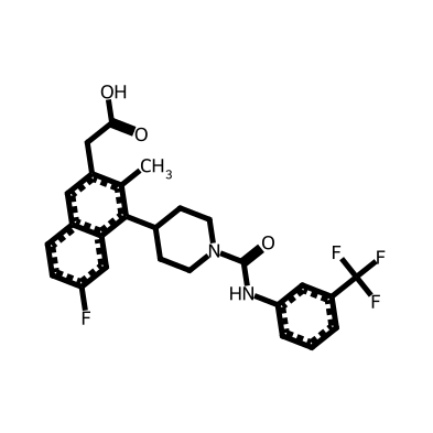 Cc1c(CC(=O)O)cc2ccc(F)cc2c1C1CCN(C(=O)Nc2cccc(C(F)(F)F)c2)CC1